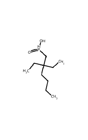 CCCCC(CC)(CC)C[PH](=O)O